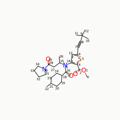 COC(=O)c1sc(C#CC(C)(C)C)cc1N(C(=O)C1CCC(C)CC1)C(C)CC(=O)N1CCCC1